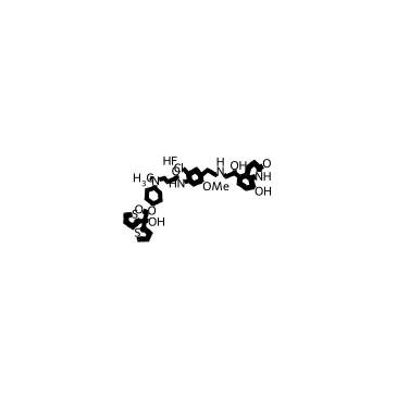 COc1cc(NC(=O)CCN(C)C2CCC(OC(=O)C(O)(c3cccs3)c3cccs3)CC2)c(Cl)cc1CCNCC(O)c1ccc(O)c2[nH]c(=O)ccc12.F